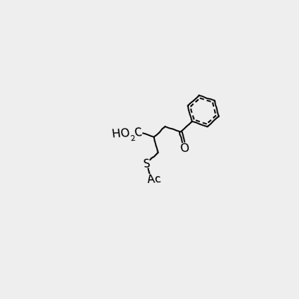 CC(=O)SCC(CC(=O)c1ccccc1)C(=O)O